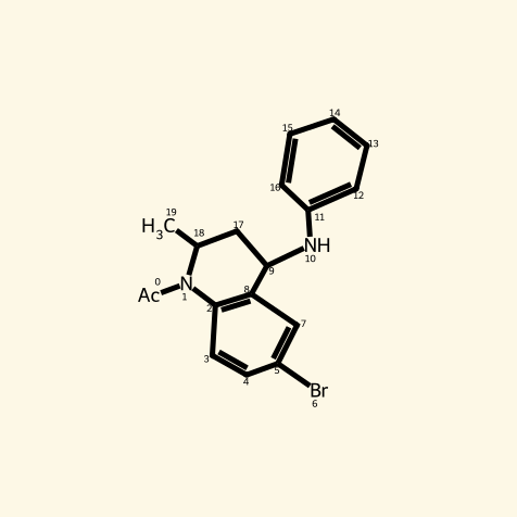 CC(=O)N1c2ccc(Br)cc2C(Nc2ccccc2)CC1C